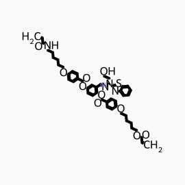 C=CC(=O)NCCCCCCOc1ccc(C(=O)Oc2ccc(OC(=O)c3ccc(OCCCCCCOC(=O)C=C)cc3)c(/C=N/N(CCO)c3nc4ccccc4s3)c2)cc1